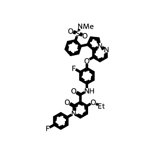 CCOc1ccn(-c2ccc(F)cc2)c(=O)c1C(=O)Nc1ccc(Oc2ccnn3ccc(-c4ccccc4S(=O)(=O)NC)c23)c(F)c1